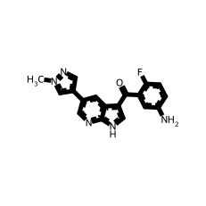 Cn1cc(-c2cnc3[nH]cc(C(=O)c4cc(N)ccc4F)c3c2)cn1